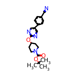 CC(C)(C)OC(=O)N1CCC(Oc2ncc(-c3ccc(C#N)cc3)cn2)CC1